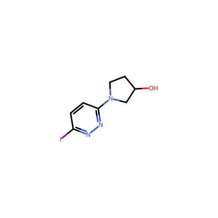 OC1CCN(c2ccc(I)nn2)C1